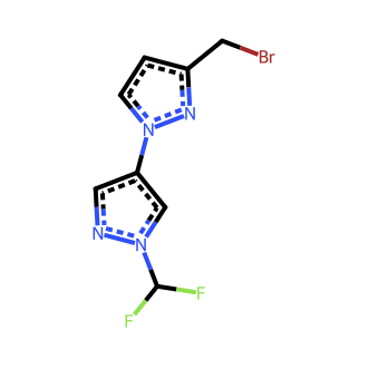 FC(F)n1cc(-n2ccc(CBr)n2)cn1